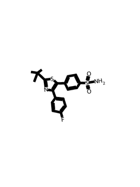 CC(C)(C)c1nc(-c2ccc(F)cc2)c(-c2ccc(S(N)(=O)=O)cc2)s1